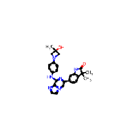 CC1(O)CN(c2ccc(Nc3nc(-c4ccc5c(c4)NC(=O)C5(C)C)cn4ccnc34)cc2)C1